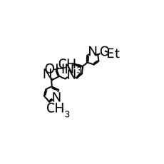 CCOc1ccc(C2=CNN(Cc3c(-c4ccc(C)nc4)noc3C)C=C2)cn1